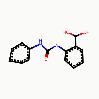 O=C(Nc1ccccc1)Nc1ccccc1C(O)O